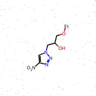 CCOCC(O)Cn1cc([N+](=O)[O-])nn1